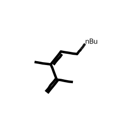 C=C(C)C(C)=CCCCCC